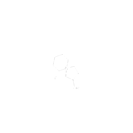 OC1CC[N+]2(CCCCC2)C1.[F-]